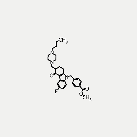 CCCCN1CCN(CC2CCc3c(c4cc(F)ccc4n3Cc3ccc(C(=O)OC)cc3)C2=O)CC1